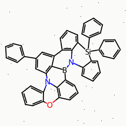 c1ccc(-c2cc3c4c(c2)N2c5ccccc5Oc5cccc(c52)B4N2c4ccccc4[Si](c4ccccc4)(c4ccccc4)c4cccc-3c42)cc1